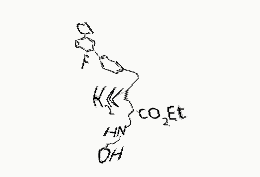 CCOC(=O)[C@H](CCNCCO)C[C@H](N)Cc1ccc(-c2cc(Cl)ccc2F)cc1